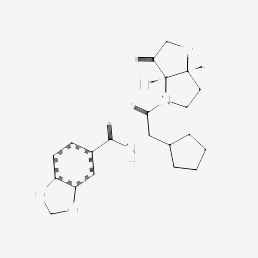 C[C@@H]1CN(C(=O)[C@@H](NC(=O)c2ccc3c(c2)OCO3)C2CCCC2)[C@@H]2C(=O)CO[C@H]12